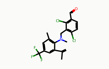 C=C(C)c1cc(C(F)(F)F)cc(C)c1N(C)Cc1c(Cl)ccc(C=O)c1Cl